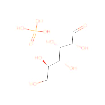 O=C[C@H](O)[C@@H](O)[C@H](O)[C@H](O)CO.O=P(O)(O)O